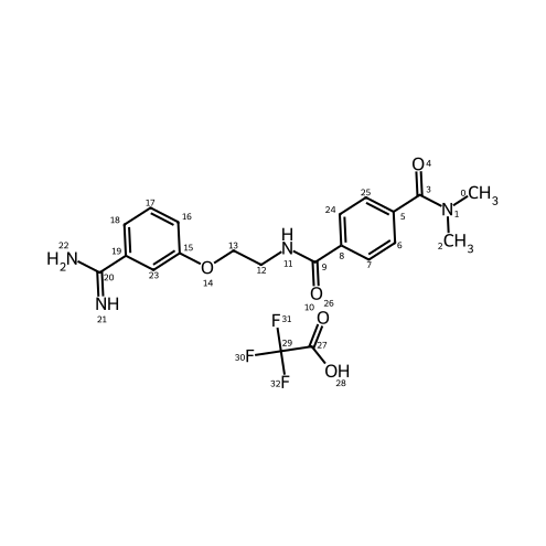 CN(C)C(=O)c1ccc(C(=O)NCCOc2cccc(C(=N)N)c2)cc1.O=C(O)C(F)(F)F